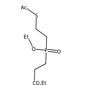 CCOC(=O)CCP(=O)(CCSC(C)=O)OCC